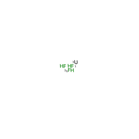 F.F.F.[U]